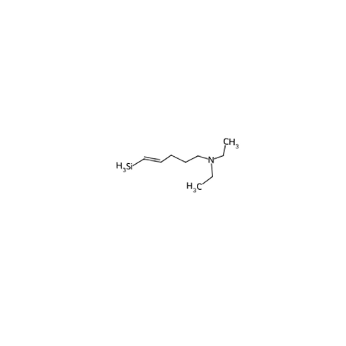 CCN(CC)CCCC=C[SiH3]